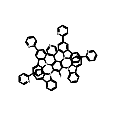 Fc1c(-n2c3ccccc3c3ccccc32)c(-n2c3ccc(-c4ccccn4)cc3c3cc(-c4ccccn4)ccc32)c(-c2ccncc2)c(-n2c3ccc(-c4ccccn4)cc3c3cc(-c4ccccn4)ccc32)c1-n1c2ccccc2c2ccccc21